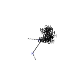 CCCCCCCC/C=C\CCCCCCCCCCCCCCCC(=O)N[C@@H](CO[C@@H]1OC(CO)[C@@H](O[C@@H]2OC(CO)[C@H](O)[C@H](O[C@@H]3OC(CO)[C@@H](O[C@@H]4OC(CO)[C@H](O)[C@H](O[C@]5(C(=O)O)CC(O)[C@@H](NC(C)=O)C([C@H](O)[C@H](O)CO)O5)C4O)[C@H](O)C3NC(C)=O)C2O)[C@H](O)C1O)[C@H](O)/C=C/CCCCCCCCCCCCC